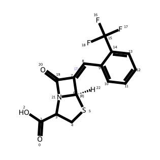 O=C(O)C1CS[C@@H]2/C(=C\c3ccccc3C(F)(F)F)C(=O)N12